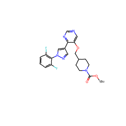 CC(C)(C)OC(=O)N1CCC(COc2cncnc2-c2cnn(-c3c(F)cccc3F)c2)CC1